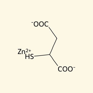 O=C([O-])CC(S)C(=O)[O-].[Zn+2]